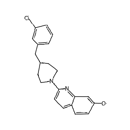 [O]c1ccc2ccc(N3CCC(Cc4cccc(Cl)c4)CC3)nc2c1